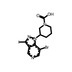 O=C(O)N1CCCC(n2nc(I)c3cncc(Br)c32)C1